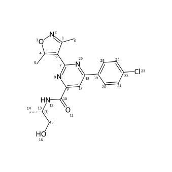 Cc1noc(C)c1-c1nc(C(=O)N[C@@H](C)CO)cc(-c2ccc(Cl)cc2)n1